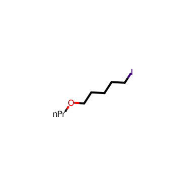 CCCOCCCCCI